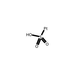 O=[S](=O)(O)[Pt]